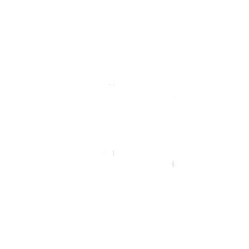 CC(C)(C=O)CO.CC(C)(C=O)CO